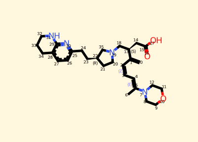 C=C(/C=C\C=C(/C)N1CCOCC1)[C@H](CC(=O)O)CN1CC[C@@H](CCc2ccc3c(n2)NCCC3)C1